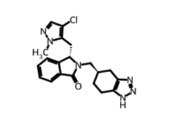 Cn1ncc(Cl)c1C[C@H]1c2ccccc2C(=O)N1C[C@@H]1CCc2[nH]nnc2C1